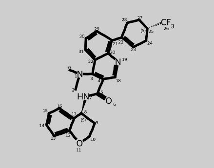 CN(C)c1c(C(=O)N[C@H]2CCOc3ccccc32)cnc2c(C3=CC[C@@H](C(F)(F)F)CC3)cccc12